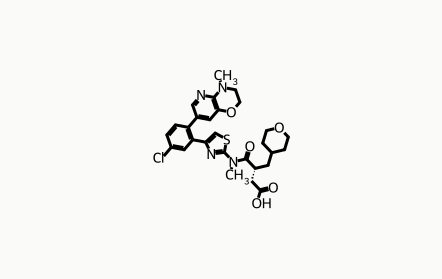 CN1CCOc2cc(-c3ccc(Cl)cc3-c3csc(N(C)C(=O)[C@@H](CC(=O)O)CC4CCOCC4)n3)cnc21